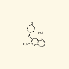 Cl.Nc1cc2cccnc2cc1OC1CCNCC1